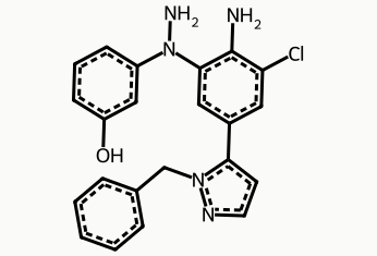 Nc1c(Cl)cc(-c2ccnn2Cc2ccccc2)cc1N(N)c1cccc(O)c1